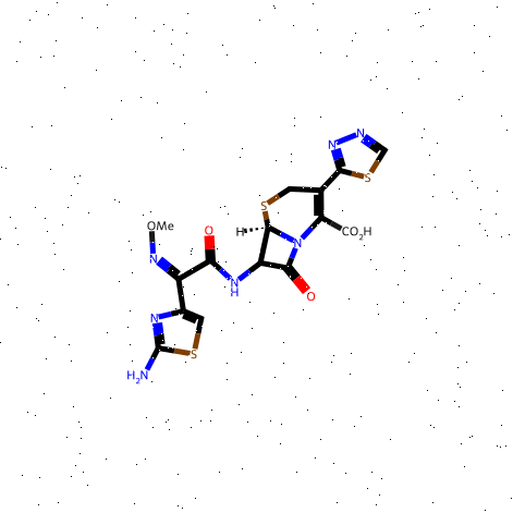 CO/N=C(\C(=O)NC1C(=O)N2C(C(=O)O)=C(c3nncs3)CS[C@H]12)c1csc(N)n1